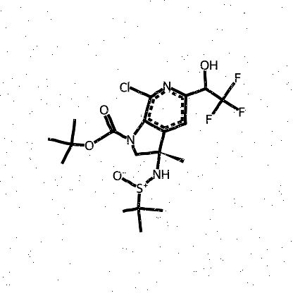 CC(C)(C)OC(=O)N1C[C@@](C)(N[S+]([O-])C(C)(C)C)c2cc(C(O)C(F)(F)F)nc(Cl)c21